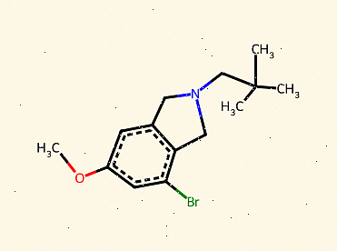 COc1cc(Br)c2c(c1)CN(CC(C)(C)C)C2